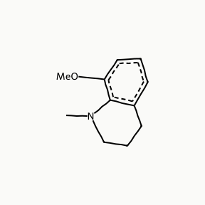 COc1cccc2c1N(C)CCC2